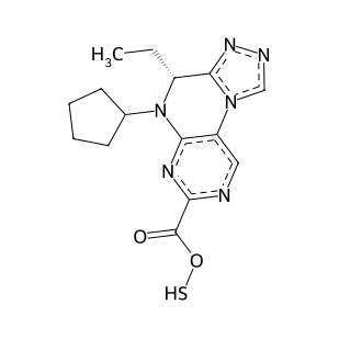 CC[C@@H]1c2nncn2-c2cnc(C(=O)OS)nc2N1C1CCCC1